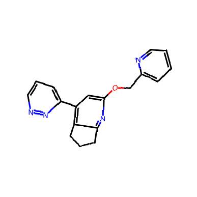 c1ccc(COc2cc(-c3cccnn3)c3c(n2)CCC3)nc1